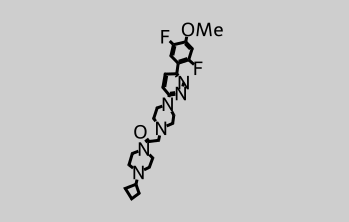 COc1cc(F)c(-c2ccc(N3CCN(CC(=O)N4CCN(C5CCC5)CC4)CC3)nn2)cc1F